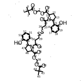 CC(C)(C)C(=O)OCOC(=O)C1CCC(c2ccccc2O)N1C(=O)CCSSCCC(=O)N1C(C(=O)OCOC(=O)C(C)(C)C)CCC1c1ccccc1O